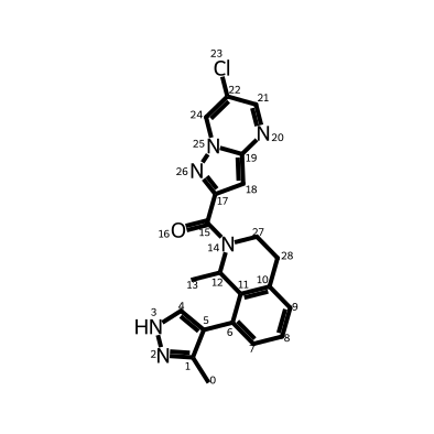 Cc1n[nH]cc1-c1cccc2c1C(C)N(C(=O)c1cc3ncc(Cl)cn3n1)CC2